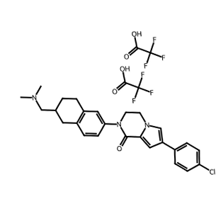 CN(C)CC1CCc2cc(N3CCn4cc(-c5ccc(Cl)cc5)cc4C3=O)ccc2C1.O=C(O)C(F)(F)F.O=C(O)C(F)(F)F